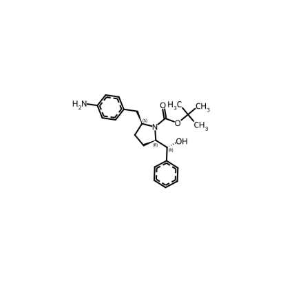 CC(C)(C)OC(=O)N1[C@H](Cc2ccc(N)cc2)CC[C@@H]1[C@H](O)c1ccccc1